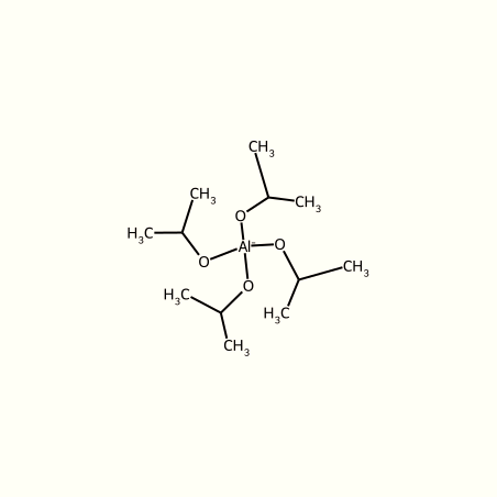 CC(C)[O][Al-]([O]C(C)C)([O]C(C)C)[O]C(C)C